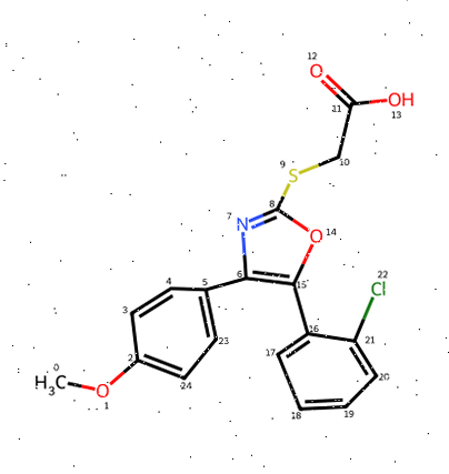 COc1ccc(-c2nc(SCC(=O)O)oc2-c2ccccc2Cl)cc1